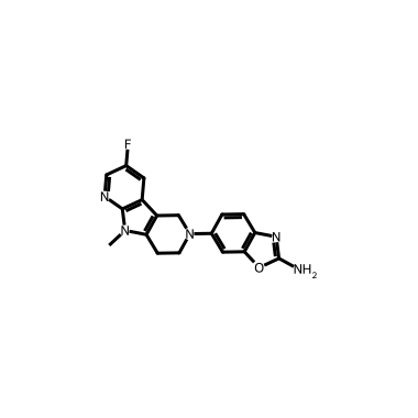 Cn1c2c(c3cc(F)cnc31)CN(c1ccc3nc(N)oc3c1)CC2